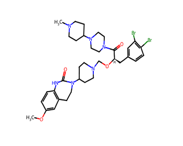 COc1ccc2c(c1)CCN(C1CCN(CO[C@H](Cc3ccc(Br)c(Br)c3)C(=O)N3CCN(C4CCN(C)CC4)CC3)CC1)C(=O)N2